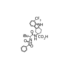 CCC(C)C(NC(=O)C(=O)c1ccccc1)C(=O)N[C@]1(C(=O)O)CCc2[nH]c3c(C(F)(F)F)cccc3c2C1